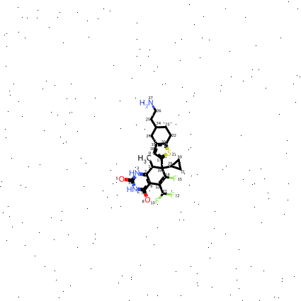 CC1c2[nH]c(=O)[nH]c(=O)c2C(C(F)F)=C(F)C1(c1cc2c(s1)CCC(CCN)C2)C1CC1